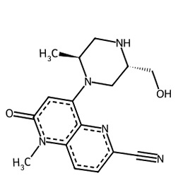 C[C@H]1CN[C@H](CO)CN1c1cc(=O)n(C)c2ccc(C#N)nc12